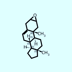 C[C@@]12CCC[C@H]1[C@@H]1CC=C3CC4OC4C[C@]3(C)[C@H]1CC2